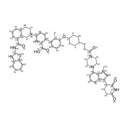 Cc1c(OC2CCC(CCC(=O)N3CCN(c4cccc5c(C6CCC(=O)NC6=O)nn(C)c45)CC3)CC2)cccc1-c1ccc(N2CCc3cccc(C(=O)Nc4nc5ccccc5s4)c3C2)nc1C(=O)O